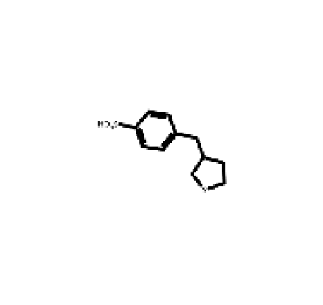 O=S(=O)(O)c1ccc(CC2CCSC2)cc1